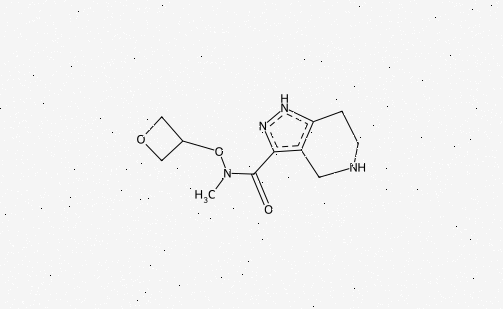 CN(OC1COC1)C(=O)c1n[nH]c2c1CNCC2